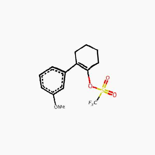 COc1cccc(C2=C(OS(=O)(=O)C(F)(F)F)CCCC2)c1